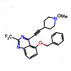 CON1CCC(C#Cc2nc(C(F)(F)F)nc3cccc(OCc4ccccc4)c23)CC1